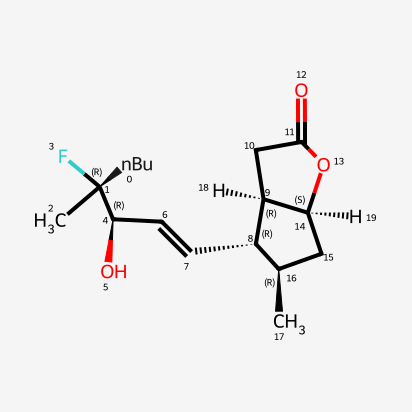 CCCC[C@@](C)(F)[C@H](O)C=C[C@@H]1[C@H]2CC(=O)O[C@H]2C[C@H]1C